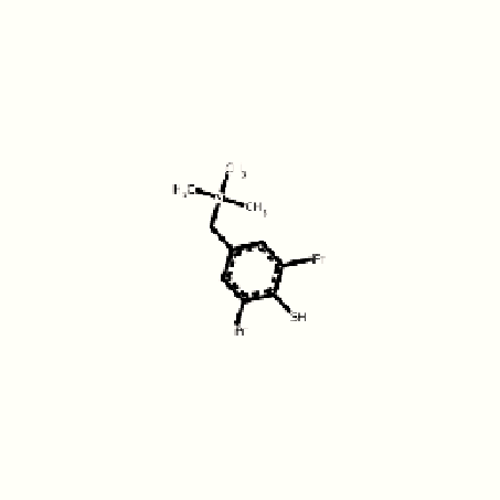 CC(C)c1cc(C[Si](C)(C)C)cc(C(C)C)c1S